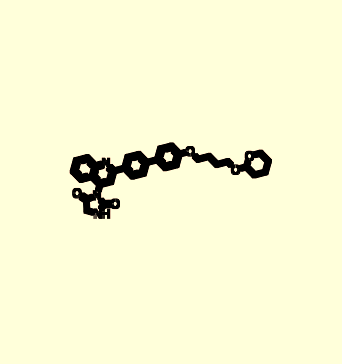 O=C1CNC(=O)N1c1cc(-c2ccc(-c3ccc(OCCCCOC4CCCCO4)cc3)cc2)nc2ccccc12